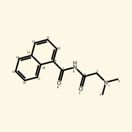 CN(C)CC(=O)NC(=O)c1cccc2ccccc12